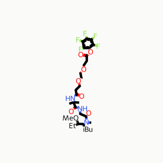 CCC(C)C(C(CC)OC)N(C)C(=O)CNC(=O)C(C)(C)NC(=O)CCOCCOCCC(=O)Oc1c(F)c(F)c(F)c(F)c1F